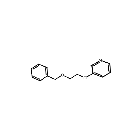 [c]1ncccc1OCCOCc1ccccc1